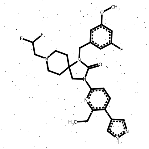 CCc1nc(N2CC3(CCN(CC(F)F)CC3)N(Cc3cc(F)cc(OC)c3)C2=O)ccc1-c1cn[nH]c1